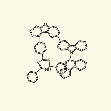 c1ccc(C2=NC(c3ccc(-c4nccc5oc6ccc(-c7ccc8c(c7)c7ccccc7n8-c7cc8ccccc8c8ccccc78)cc6c45)cc3)=NC(c3ccccc3)N2)cc1